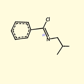 CC(C)C/N=C(\Cl)c1ccccc1